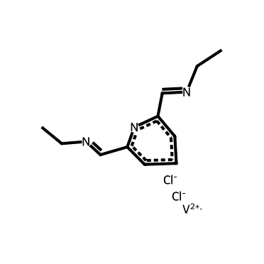 CCN=Cc1cccc(C=NCC)n1.[Cl-].[Cl-].[V+2]